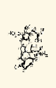 CC(=O)N1C(C(=O)O)=C(S[C@H]2C[C@@H](CNS(N)(=O)=O)N(Cc3cc(Cl)ccc3Cl)C2)[C@H](C)[C@@H]1C[C@@H](C)O